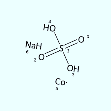 O=S(=O)(O)O.[Co].[NaH]